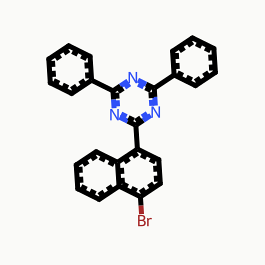 Brc1ccc(-c2nc(-c3ccccc3)nc(-c3ccccc3)n2)c2ccccc12